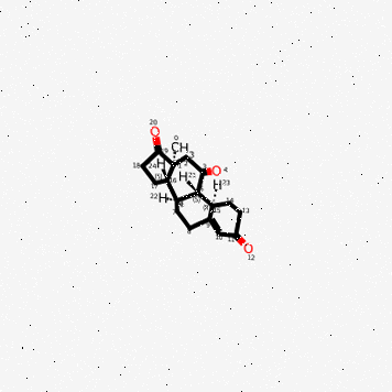 C[C@]12CC(=O)[C@H]3[C@@H](CCC4=CC(=O)CC[C@@H]43)[C@@H]1CCC2=O